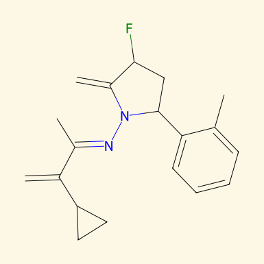 C=C(/C(C)=N/N1C(=C)C(F)CC1c1ccccc1C)C1CC1